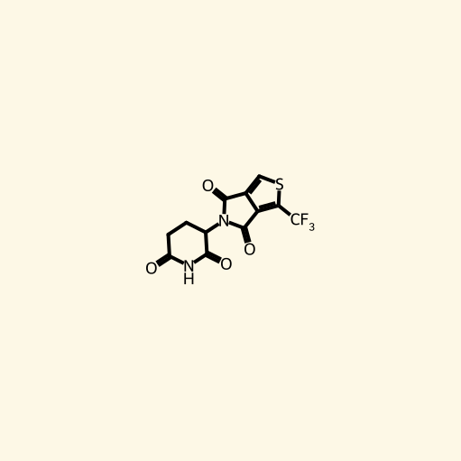 O=C1CCC(N2C(=O)c3csc(C(F)(F)F)c3C2=O)C(=O)N1